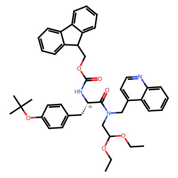 CCOC(CN(Cc1ccnc2ccccc12)C(=O)[C@H](Cc1ccc(OC(C)(C)C)cc1)NC(=O)OCC1c2ccccc2-c2ccccc21)OCC